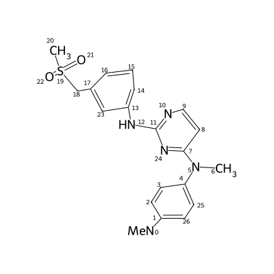 CNc1ccc(N(C)c2ccnc(Nc3cccc(CS(C)(=O)=O)c3)n2)cc1